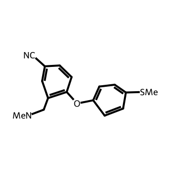 CNCc1cc(C#N)ccc1Oc1ccc(SC)cc1